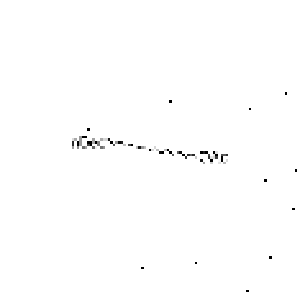 CCCCCCCCCCCCCCCCCCCCCCCCCCOC(C)=O